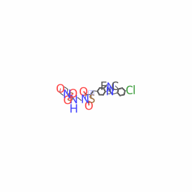 O=C1S/C(=C\c2ccc3c(cnn3Cc3ccc(Cl)cc3C(F)(F)F)c2)C(=O)N1CCNS(=O)(=O)N1CCOCC1